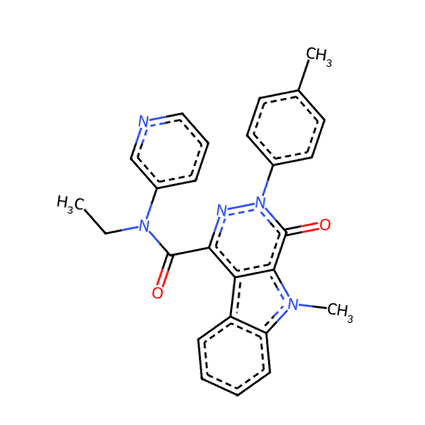 CCN(C(=O)c1nn(-c2ccc(C)cc2)c(=O)c2c1c1ccccc1n2C)c1cccnc1